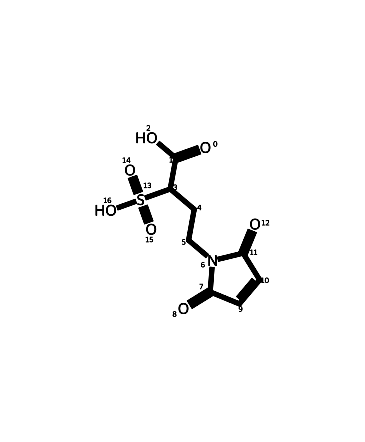 O=C(O)C(CCN1C(=O)C=CC1=O)S(=O)(=O)O